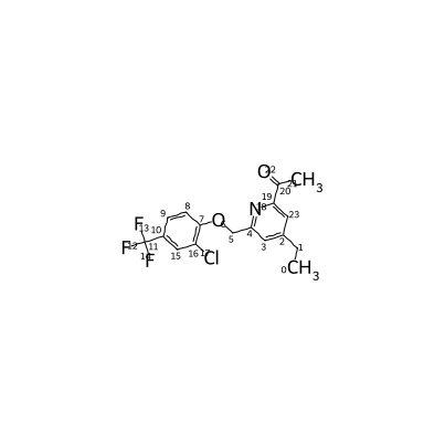 CCc1cc(COc2ccc(C(F)(F)F)cc2Cl)nc(C(C)=O)c1